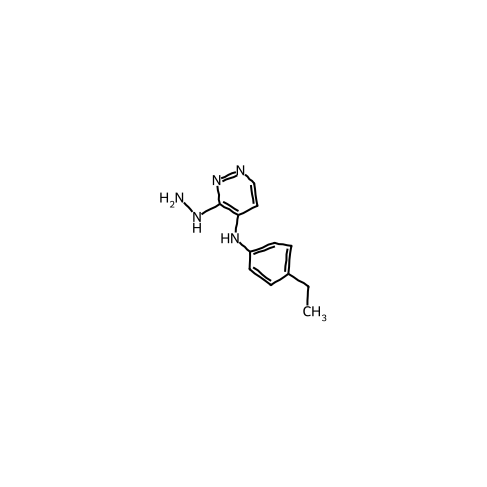 CCc1ccc(Nc2ccnnc2NN)cc1